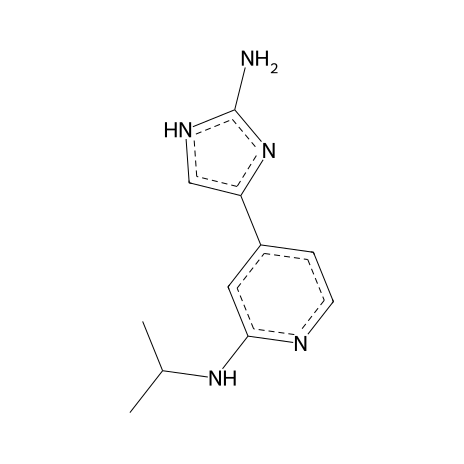 CC(C)Nc1cc(-c2c[nH]c(N)n2)ccn1